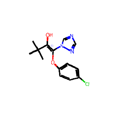 CC(C)(C)/C(O)=C(\Oc1ccc(Cl)cc1)n1cncn1